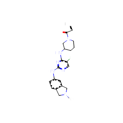 C=CC(=O)N1CCCC(Nc2nc(Nc3ccc4c(c3)CN(C(C)C)C4)ncc2F)C1